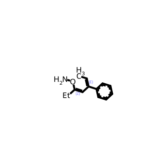 C/C=C(\C=C(\CC)ON)c1ccccc1